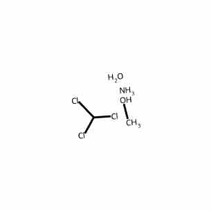 CO.ClC(Cl)Cl.N.O